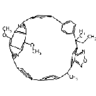 CCC1(C)c2ccc(cc2)-c2ccc(cc2)-c2cc3c(OC)c4[nH]c(cc4c(OC)c3[nH]2)-c2ccc(cc2)-c2ccc(cc2)C(C)c2ccc1c1nonc21